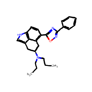 CCCN(CCC)[C@H]1Cc2c[nH]c3ccc(-c4nc(-c5ccccc5)no4)c(c23)C1